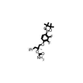 CC(C)C[C@@](C)(COc1ccc(B2OC(C)(C)C(C)(C)O2)c(F)c1F)OC(N)=O